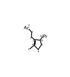 CC(=O)CCC1=C(C)CCC1C(C)C